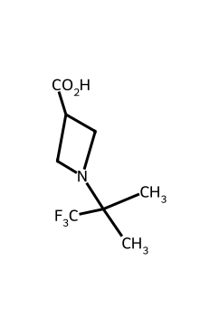 CC(C)(N1CC(C(=O)O)C1)C(F)(F)F